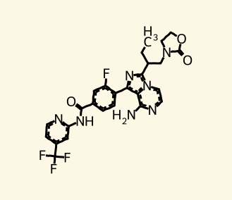 CCC(CN1CCOC1=O)c1nc(-c2ccc(C(=O)Nc3cc(C(F)(F)F)ccn3)cc2F)c2c(N)nccn12